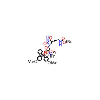 COc1ccc(C(OC[C@H]2O[C@@H](n3cc(C#CCNC(=O)OC(C)(C)C)c(=O)[nH]c3=O)C[C@@]2(O)P(=O)(OC)N(C(C)C)C(C)C)(c2ccccc2)c2ccc(OC)cc2)cc1